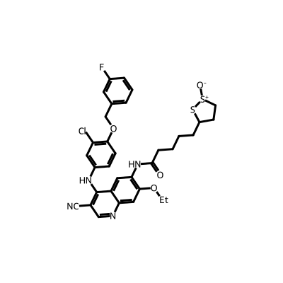 CCOc1cc2ncc(C#N)c(Nc3ccc(OCc4cccc(F)c4)c(Cl)c3)c2cc1NC(=O)CCCCC1CC[S+]([O-])S1